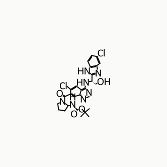 CC(C)(C)OC(=O)NC1CCCN1C(=O)c1cc2ncnc(N[C@@H](CO)c3nc4cc(Cl)ccc4[nH]3)c2cc1Cl